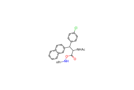 CCCNOC(=O)C(NC(C)=O)C(c1ccc(Cl)cc1)c1ccc2ccccc2c1